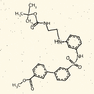 COC(=O)c1cccc(-c2cccc(S(=O)(=O)Nc3cccc(NCCNC(=O)OC(C)(C)C)c3)c2)c1